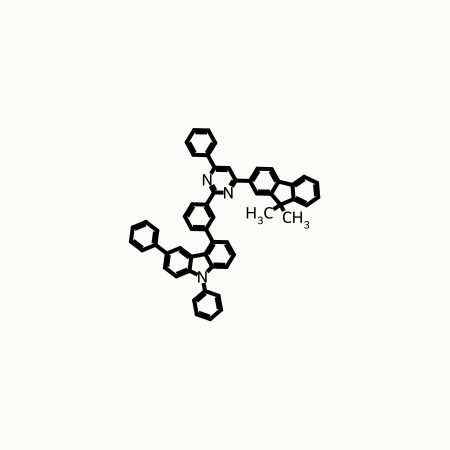 CC1(C)c2ccccc2-c2ccc(-c3cc(-c4ccccc4)nc(-c4cccc(-c5cccc6c5c5cc(-c7ccccc7)ccc5n6-c5ccccc5)c4)n3)cc21